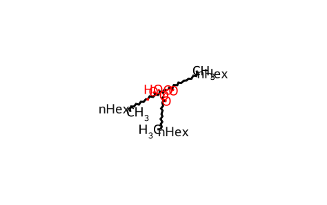 CCCCCCC(C)CCCCCCCCCCC(=O)COCC(OCC(=O)CCCCCCCCCCC(C)CCCCCC)C(O)CC(=O)CCCCCCCCCCC(C)CCCCCC